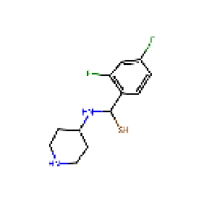 Fc1ccc(C(S)NC2CCNCC2)c(F)c1